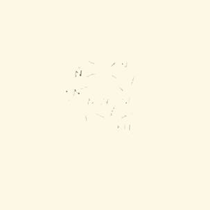 NC(=O)c1cc(F)c(NC[C@@H](N)c2ccccn2)nc1Nc1ccc2ncccc2c1